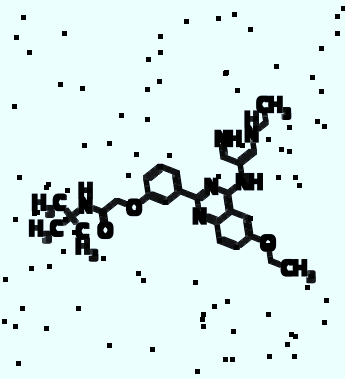 CCN/C=C(\C=N)Nc1nc(-c2cccc(OCC(=O)NC(C)(C)C)c2)nc2ccc(OCC)cc12